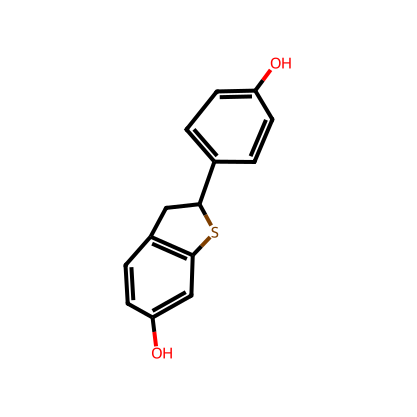 Oc1ccc(C2Cc3ccc(O)cc3S2)cc1